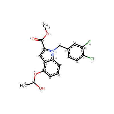 COC(=O)c1cc2c(OC(C)O)cccc2n1Cc1ccc(Cl)c(Cl)c1